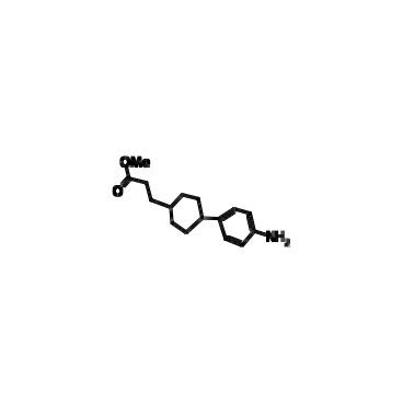 COC(=O)CCC1CCC(c2ccc(N)cc2)CC1